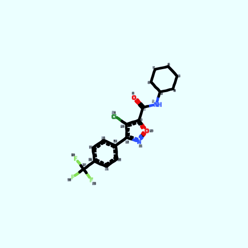 O=C(NC1CCCCC1)c1onc(-c2ccc(C(F)(F)F)cc2)c1Cl